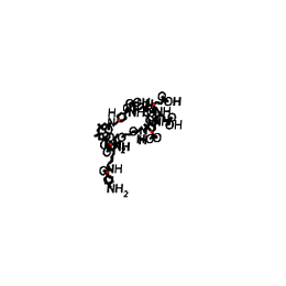 CC(C)(CC(=O)O)CC(C)(C)CC(=O)NCC1CCC(C(=O)NC(CCC(=O)NC(CCC(=O)O)C(=O)NC(CCC(=O)O)C(=O)NC(CCC(=O)O)C(=O)C(C)(C)NCCOCCOCC(=O)C(C)(C)NC(CCCCNC(=O)c2ccc(N)cc2)C(N)=O)C(=O)O)CC1